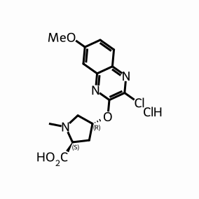 COc1ccc2nc(Cl)c(O[C@@H]3C[C@@H](C(=O)O)N(C)C3)nc2c1.Cl